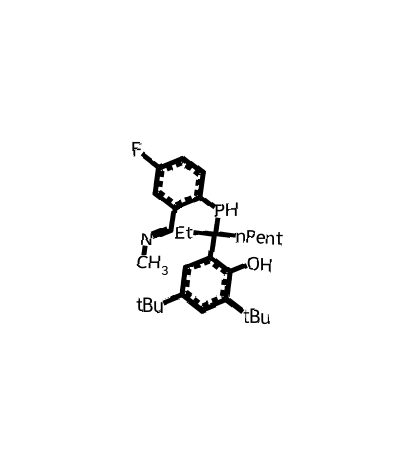 CCCCCC(CC)(Pc1ccc(F)cc1/C=N/C)c1cc(C(C)(C)C)cc(C(C)(C)C)c1O